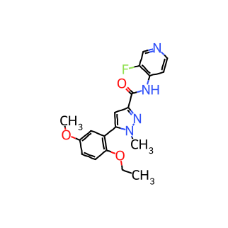 CCOc1ccc(OC)cc1-c1cc(C(=O)Nc2ccncc2F)nn1C